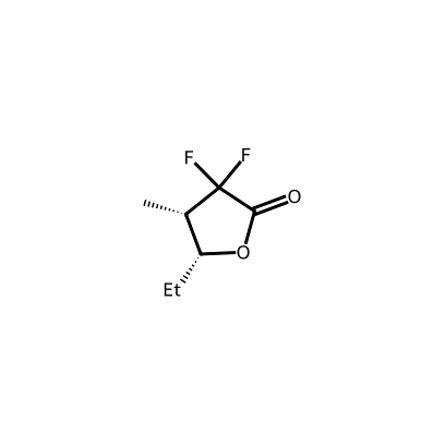 CC[C@H]1OC(=O)C(F)(F)[C@H]1C